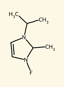 CC(C)N1C=CN(F)C1C